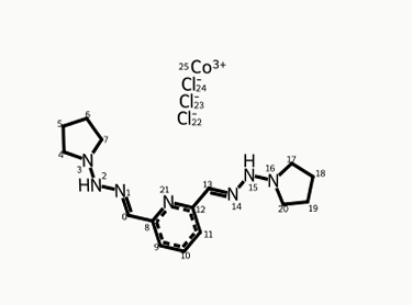 C(=NNN1CCCC1)c1cccc(C=NNN2CCCC2)n1.[Cl-].[Cl-].[Cl-].[Co+3]